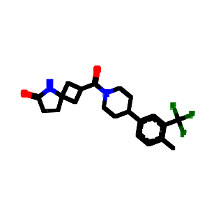 Cc1ccc(C2CCN(C(=O)C3CC4(CCC(=O)N4)C3)CC2)cc1C(F)(F)F